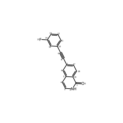 O=c1[nH]ccc2cc(C#Cc3cccc(F)c3)ccc12